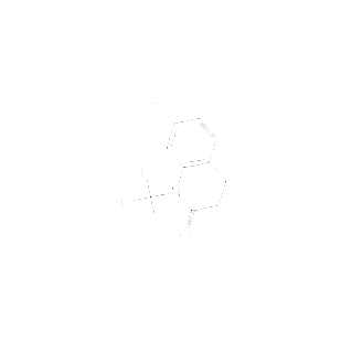 [2H]C([2H])([2H])N1C(=O)CCc2ccc(Br)cc21